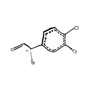 O=C[C@@H](Br)c1ccc(Cl)c(Cl)c1